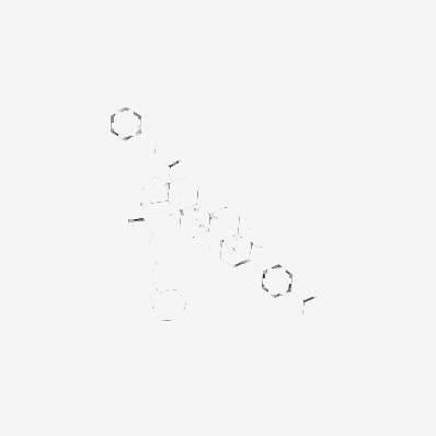 C=C(COCCN1CCOCC1)[C@@H]1CC[C@]2(C(=O)OCc3ccccc3)CC[C@]3(C)[C@H](CC[C@@H]4[C@@]5(C)CC=C(c6ccc(C(=O)OC)cc6)C(C)(C)[C@@H]5CC[C@]43C)[C@@H]12